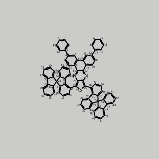 c1ccc(-c2ccc3c(c2)c2cc(-c4ccccc4)ccc2c2nc4c(-c5cccc6c5-c5ccccc5C65c6ccccc6-c6ccccc65)sc(-c5cccc6c5-c5ccccc5C65c6ccccc6-c6ccccc65)c4nc32)cc1